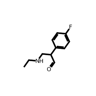 CCNCC(C=O)c1ccc(F)cc1